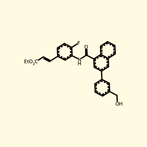 CCOC(=O)/C=C/c1ccc(F)c(NC(=O)c2cc(-c3cccc(CO)c3)cc3ccccc23)c1